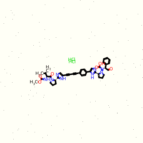 COC(=O)N[C@H](C(=O)N1CCC[C@H]1c1ncc(C#CC#Cc2ccc(-c3cnc([C@@H]4CCCN4N(C(=O)O)[C@@H](C=O)c4ccccc4)[nH]3)cc2)[nH]1)C(C)C.Cl.Cl